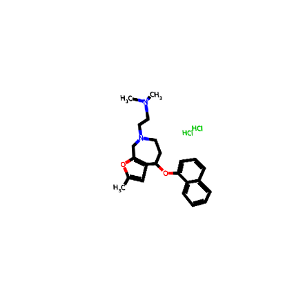 Cc1cc2c(o1)CN(CCN(C)C)CCC2Oc1cccc2ccccc12.Cl.Cl